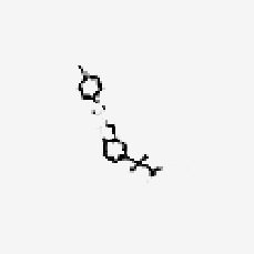 COC(=O)C(C)(C)c1ccc2nn(S(=O)(=O)c3ccc(C)cc3)cc2c1